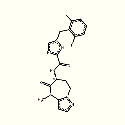 CN1C(=O)[C@@H](NC(=O)c2ncn(Cc3c(F)cccc3F)n2)CCn2nccc21